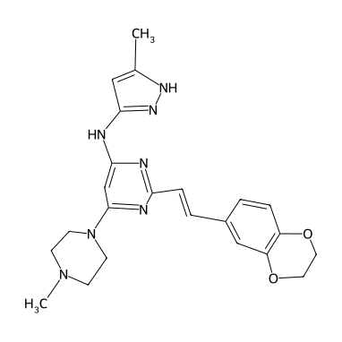 Cc1cc(Nc2cc(N3CCN(C)CC3)nc(/C=C/c3ccc4c(c3)OCCO4)n2)n[nH]1